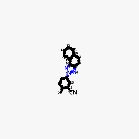 Cc1ccc(-n2nc3ccc4ccccc4c3n2)cc1C#N